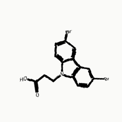 O=C(O)CCn1c2ccc(Br)cc2c2cc(Br)ccc21